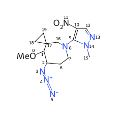 COC1C(N=[N+]=[N-])CCN(c2c([N+](=O)[O-])cnn2C)CC12CC2